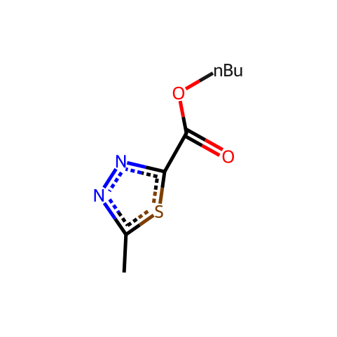 CCCCOC(=O)c1nnc(C)s1